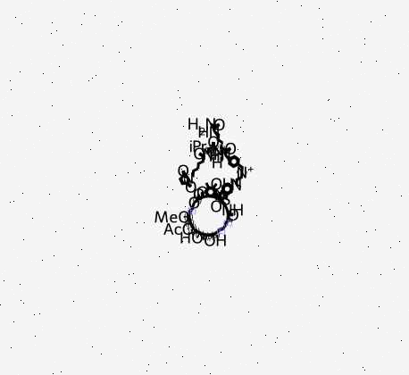 CO[C@H]1/C=C/O[C@@]2(C)Oc3c(C)c(O)c4c(=O)c(c5sc6cc(N(C)CC[N+](C)(C)Cc7ccc(NC(=O)[C@H](CCCNC(N)=O)NC(=O)[C@@H](NC(=O)CCCCCN8C(=O)C=CC8=O)C(C)C)cc7)ccc6nc-5c4c3C2=O)NC(=O)/C(C)=C\C=C\[C@H](C)[C@H](O)[C@@H](C)[C@@H](O)[C@@H](C)[C@H](OC(C)=O)[C@@H]1C